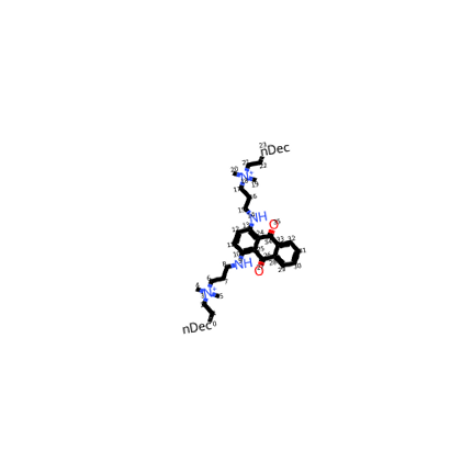 CCCCCCCCCCCC[N+](C)(C)CCCNc1ccc(NCCC[N+](C)(C)CCCCCCCCCCCC)c2c1C(=O)c1ccccc1C2=O